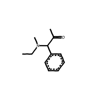 CCN(C)C(C(C)=O)c1ccccc1